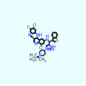 CC(C)(C)N1CCC(N2C=C([C@@H](Nc3cc(Cl)c4ncc(C#N)c(Nc5ccc(F)c(Cl)c5)c4c3)c3csc4ccccc34)NN2)CC1